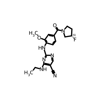 CCNc1nc(Nc2ccc(C(=O)N3CC[C@H](F)C3)cc2OC)ncc1C#N